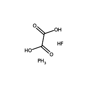 F.O=C(O)C(=O)O.P